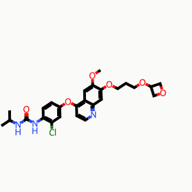 COc1cc2c(Oc3ccc(NC(=O)NC(C)C)c(Cl)c3)ccnc2cc1OCCCOC1COC1